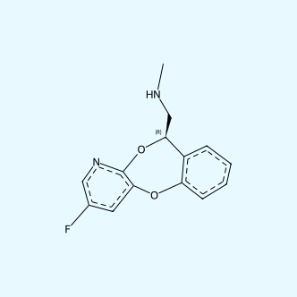 CNC[C@@H]1Oc2ncc(F)cc2Oc2ccccc21